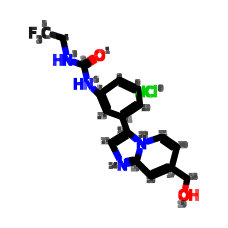 Cl.O=C(NCC(F)(F)F)Nc1cccc(-c2cnc3cc(CO)ccn23)c1